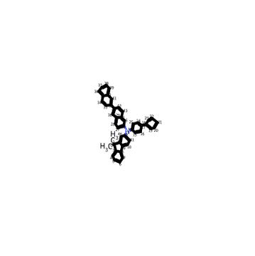 CC1(C)c2ccccc2-c2ccc(N(c3ccc(-c4ccccc4)cc3)c3ccc4cc(-c5ccc6ccccc6c5)ccc4c3)cc21